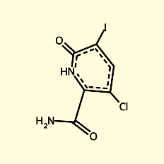 NC(=O)c1[nH]c(=O)c(I)cc1Cl